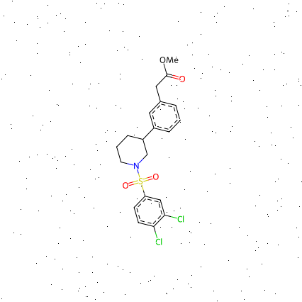 COC(=O)Cc1cccc(C2CCCN(S(=O)(=O)c3ccc(Cl)c(Cl)c3)C2)c1